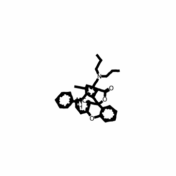 CCCN(CCC)c1cc(C)c(Nc2ccccc2)c2c1C(=O)OC21c2ccccc2Oc2ccccc21